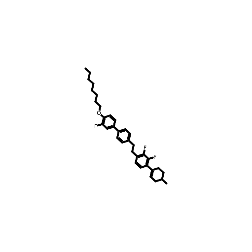 CCCCCCCCOc1ccc(-c2ccc(CCc3ccc(C4=CCC(C)CC4)c(F)c3F)cc2)cc1F